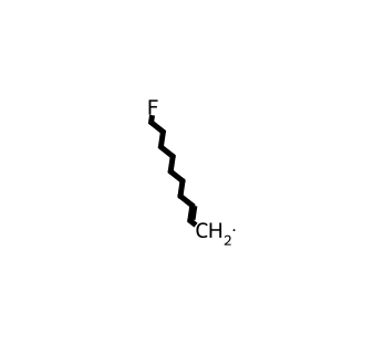 [CH2]C=CCCCCCCCF